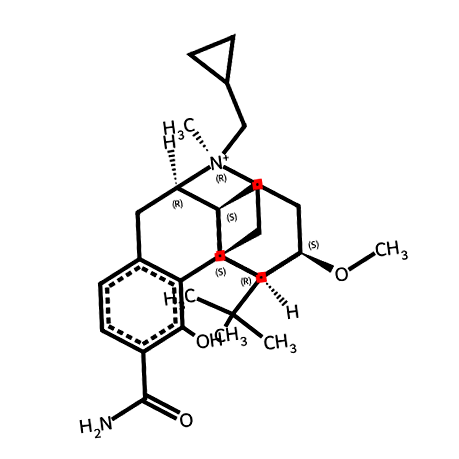 CO[C@]12CC[C@@]3(C[C@@H]1C(C)(C)C)[C@H]1Cc4ccc(C(N)=O)c(O)c4[C@@]3(CC[N@+]1(C)CC1CC1)C2